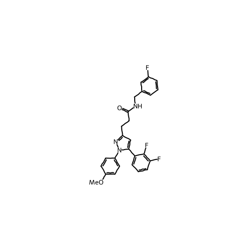 COc1ccc(-n2nc(CCC(=O)NCc3cccc(F)c3)cc2-c2cccc(F)c2F)cc1